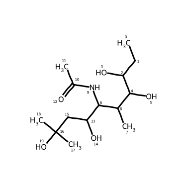 CCC(O)C(O)C(C)C(NC(C)=O)C(O)CC(C)(C)O